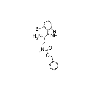 CN(CCC(N)c1[nH]nc2cccc(Br)c12)C(=O)OCc1ccccc1